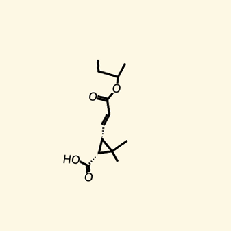 CCC(C)OC(=O)C=C[C@H]1[C@@H](C(=O)O)C1(C)C